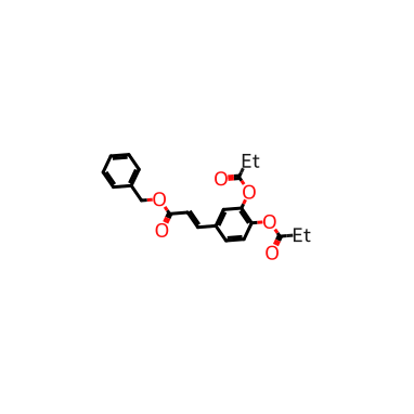 CCC(=O)Oc1ccc(/C=C/C(=O)OCc2ccccc2)cc1OC(=O)CC